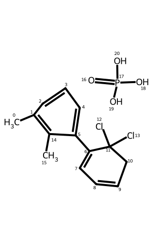 Cc1cccc(C2=CC=CCC2(Cl)Cl)c1C.O=P(O)(O)O